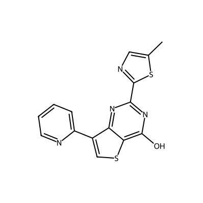 Cc1cnc(-c2nc(O)c3scc(-c4ccccn4)c3n2)s1